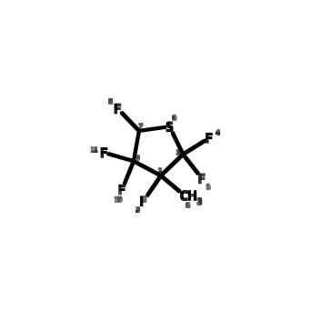 CC1(F)C(F)(F)SC(F)C1(F)F